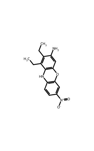 CCc1c(N)cc2c(c1CC)Nc1ccc([N+](=O)[O-])cc1O2